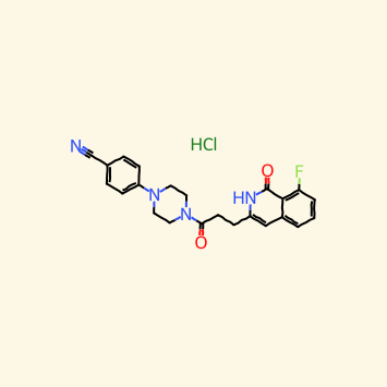 Cl.N#Cc1ccc(N2CCN(C(=O)CCc3cc4cccc(F)c4c(=O)[nH]3)CC2)cc1